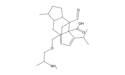 CC(N)COCC12CC3C(C)CCC3C3(C=O)CC1C=C(C(C)C)C32C(=O)O